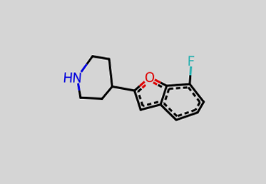 Fc1cccc2cc(C3CCNCC3)oc12